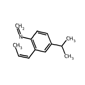 C=Nc1ccc(C(C)C)cc1/C=C\C